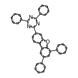 c1ccc(-c2cc(-c3ccccc3)c3oc4cc(-c5nc(-c6ccccc6)nc(-c6ccccc6)n5)ccc4c3c2)cc1